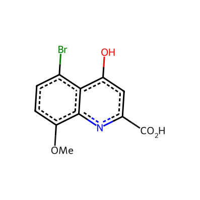 COc1ccc(Br)c2c(O)cc(C(=O)O)nc12